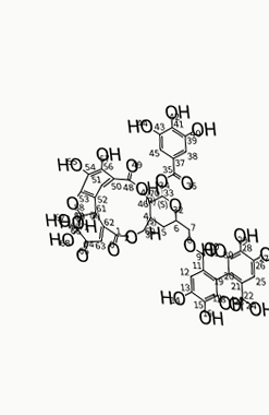 O=C1OC[C@@H]2CC(COC(=O)c3cc(O)c(O)c(O)c3-c3c(C(=O)O)cc(O)c(O)c3O)O[C@@H](OC(=O)c3cc(O)c(O)c(O)c3)[C@@H]2OC(=O)c2cc3c(c(O)c2O)O[C@]2(O)[C@H]3C1=CC(=O)C2(O)O